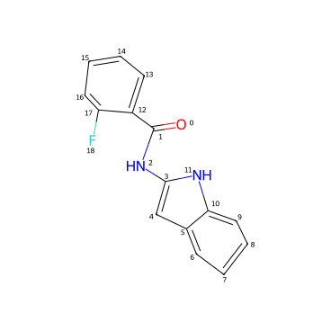 O=C(Nc1cc2ccccc2[nH]1)c1ccccc1F